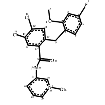 COc1cc(F)ccc1Cc1cc(Cl)c(Cl)cc1C(=O)Nc1ccc[n+]([O-])c1